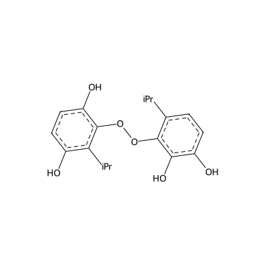 CC(C)c1ccc(O)c(O)c1OOc1c(O)ccc(O)c1C(C)C